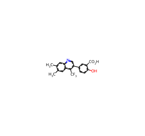 Cc1cc2ncc(-c3ccc(O)c(C(=O)O)c3)c(C(F)(F)F)c2cc1C